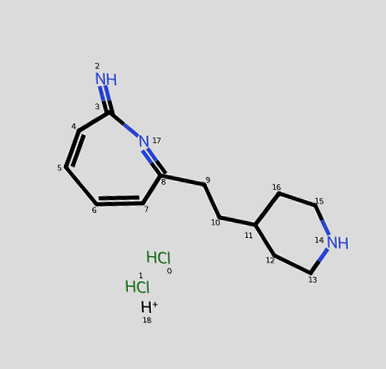 Cl.Cl.N=c1ccccc(CCC2CCNCC2)n1.[H+]